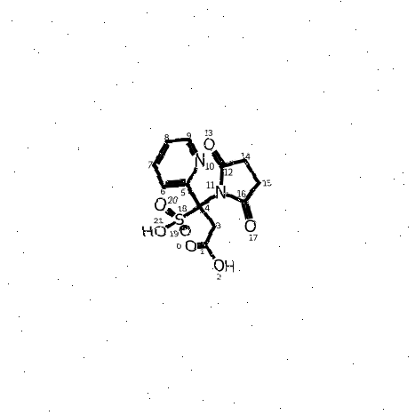 O=C(O)CC(c1ccccn1)(N1C(=O)CCC1=O)S(=O)(=O)O